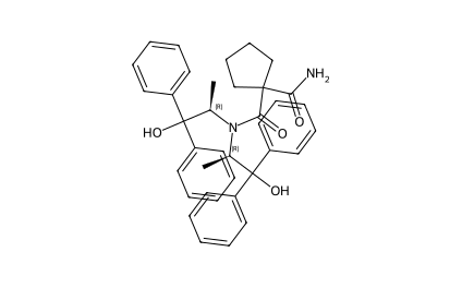 C[C@@H](N(C(=O)C1(C(N)=O)CCCC1)[C@H](C)C(O)(c1ccccc1)c1ccccc1)C(O)(c1ccccc1)c1ccccc1